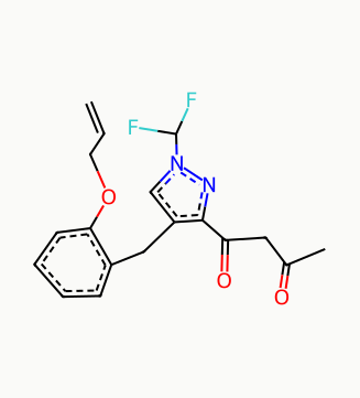 C=CCOc1ccccc1Cc1cn(C(F)F)nc1C(=O)CC(C)=O